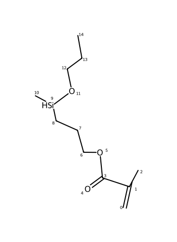 C=C(C)C(=O)OCCC[SiH](C)OCCC